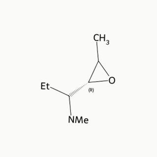 CCC(NC)[C@H]1OC1C